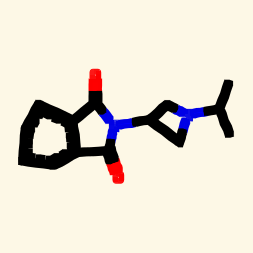 CC(C)N1CC(N2C(=O)c3ccccc3C2=O)C1